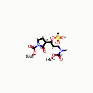 CN(CCC(OS(C)(=O)=O)C1CCN(C(=O)OC(C)(C)C)C1=O)C(=O)OC(C)(C)C